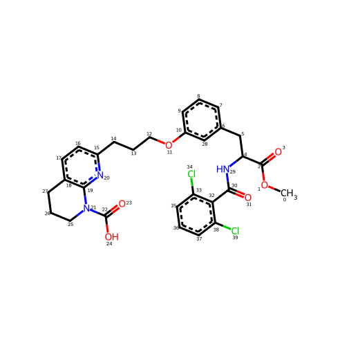 COC(=O)C(Cc1cccc(OCCCc2ccc3c(n2)N(C(=O)O)CCC3)c1)NC(=O)c1c(Cl)cccc1Cl